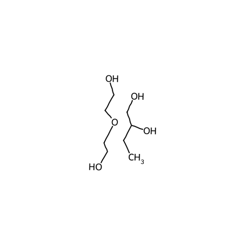 CCC(O)CO.OCCOCCO